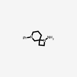 CC(C)N1CCCC2(CCN2N)C1